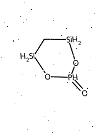 O=[PH]1O[SiH2]C[SiH2]O1